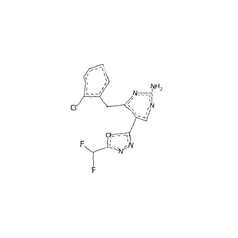 Nc1ncc(-c2nnc(C(F)F)o2)c(Cc2ccccc2Cl)n1